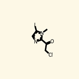 Cn1c(I)cnc1C(=O)CCl